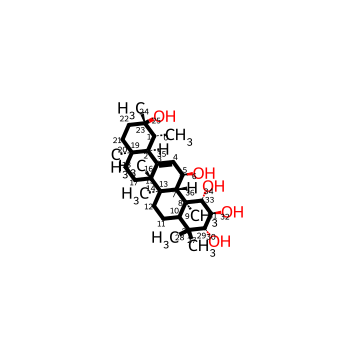 C[C@@H]1[C@H]2C3=C[C@@H](O)[C@@H]4[C@]5(C)C(CC[C@@]4(C)[C@]3(C)CC[C@@]2(C)CC[C@]1(C)O)C(C)(C)[C@@H](O)[C@H](O)[C@H]5O